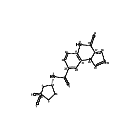 O=C(N[C@@H]1CCS(=O)(=O)C1)c1ccc2[nH]c(=O)c3cncn3c2c1